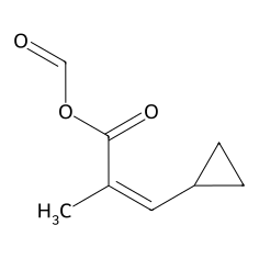 CC(=CC1CC1)C(=O)OC=O